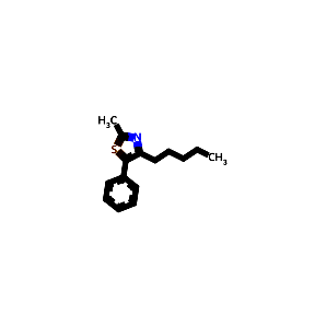 CCCCCc1nc(C)sc1-c1ccccc1